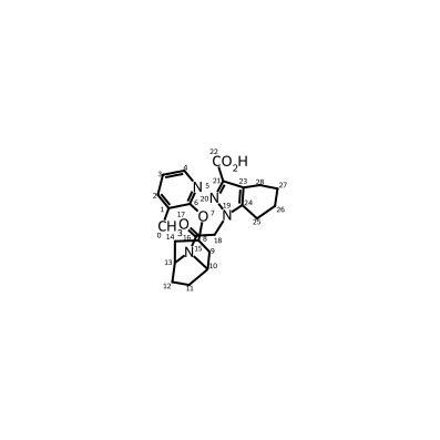 Cc1cccnc1OC1CC2CCC(C1)N2C(=O)Cn1nc(C(=O)O)c2c1CCCC2